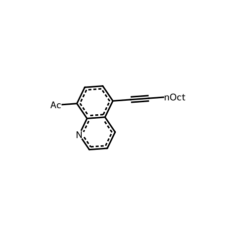 CCCCCCCCC#Cc1ccc(C(C)=O)c2ncccc12